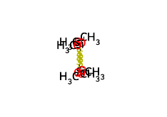 CCCO[Si](CCCSSSSSSCCC[Si](OC)(OCC)OCCC)(OC)OCC